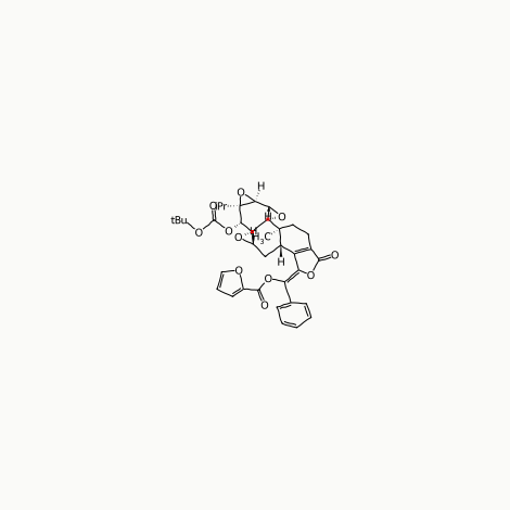 CC(C)[C@]12O[C@H]1[C@@H]1O[C@]13[C@]1(O[C@H]1C[C@H]1C4=C(CC[C@@]13C)C(=O)O/C4=C(/OC(=O)c1ccco1)c1ccccc1)[C@@H]2OC(=O)OC(C)(C)C